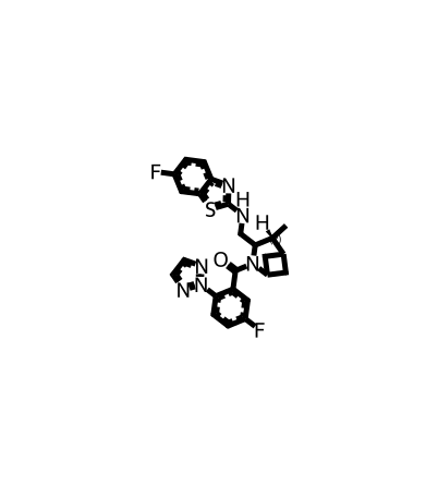 C[C@@H]1C2CC(C2)N(C(=O)c2cc(F)ccc2-n2nccn2)C1CNc1nc2ccc(F)cc2s1